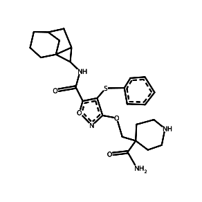 NC(=O)C1(COc2noc(C(=O)NC3C4CC5CCCC43C5)c2Sc2ccccc2)CCNCC1